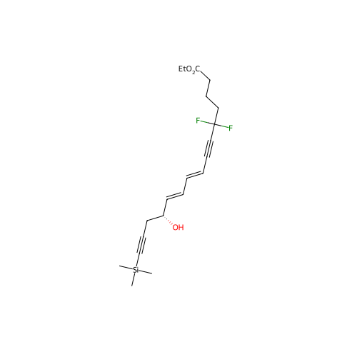 CCOC(=O)CCCC(F)(F)C#C/C=C/C=C/[C@H](O)CC#C[Si](C)(C)C